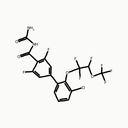 NC(=O)NC(=O)c1c(F)cc(-c2cccc(Cl)c2OC(F)(F)C(F)OC(F)(F)F)cc1F